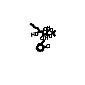 CCCC[C@H](O)[C@H]1O[C@@H]2OC(C)(C)O[C@@H]2[C@H]1OCc1ccccc1Cl